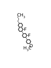 CCCCc1ccc2c(F)c(-c3ccc(-c4ccc(OC)cc4)c(F)c3)ccc2c1